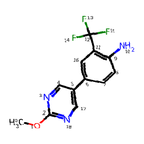 COc1ncc(-c2ccc(N)c(C(F)(F)F)c2)cn1